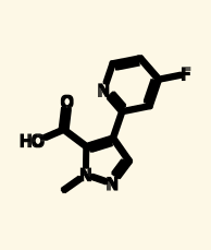 Cn1ncc(-c2cc(F)ccn2)c1C(=O)O